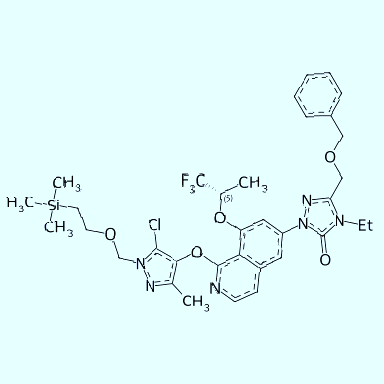 CCn1c(COCc2ccccc2)nn(-c2cc(O[C@@H](C)C(F)(F)F)c3c(Oc4c(C)nn(COCC[Si](C)(C)C)c4Cl)nccc3c2)c1=O